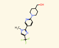 Cn1cc(C(F)(F)F)nc1-c1ccc(N2CCC(CO)CC2)nc1